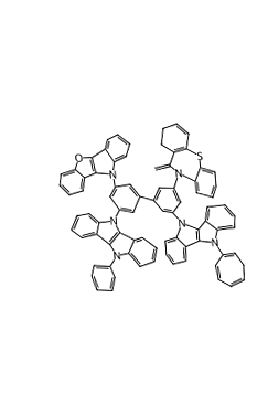 C=C1C2=C(C=CCC2)Sc2ccccc2N1c1cc(-c2cc(-n3c4ccccc4c4oc5ccccc5c43)cc(-n3c4ccccc4c4c3c3ccccc3n4-c3ccccc3)c2)cc(-n2c3ccccc3c3c2c2ccccc2n3C2=CCC=CC=C2)c1